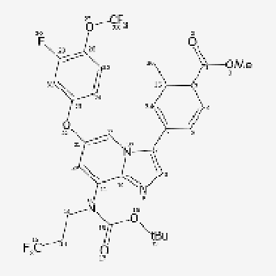 COC(=O)c1ccc(-c2cnc3c(N(CCC(F)(F)F)C(=O)OC(C)(C)C)cc(Oc4ccc(OC(F)(F)F)c(F)c4)cn23)cc1C